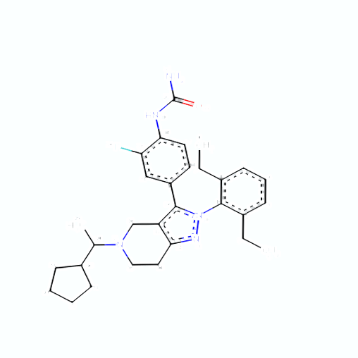 CCc1cccc(CC)c1-n1nc2c(c1-c1ccc(NC(N)=O)c(F)c1)CN(C(C)C1CCCC1)CC2